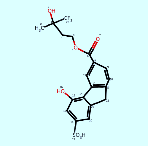 CC(O)(CCOC(=O)c1ccc2c(c1)-c1c(O)cc(S(=O)(=O)O)cc1C2)C(F)(F)F